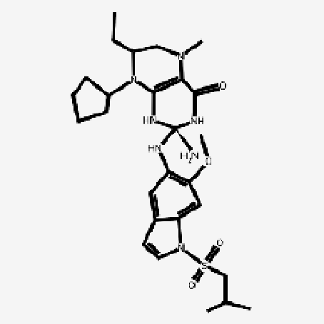 CCC1CN(C)C2=C(N[C@@](N)(Nc3cc4ccn(S(=O)(=O)CC(C)C)c4cc3OC)NC2=O)N1C1CCCC1